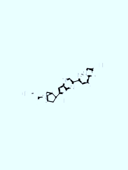 Cc1cn2nc(-c3cnc4cc([C@@]5(O)C[C@H]6C[C@@H]5CN6C(=O)OC(C)(C)C)sc4n3)cc(C)c2n1